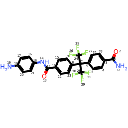 NC(=O)c1ccc(C(c2ccc(C(=O)Nc3ccc(N)cc3)cc2)(C(F)(F)F)C(F)(F)F)cc1